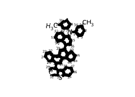 Cc1cccc(N(c2cccc(C)c2)c2ccc(-c3cc4c5ccccc5c(-c5cccc6sc7ccccc7c56)cc4c4ccccc34)c3ccccc23)c1